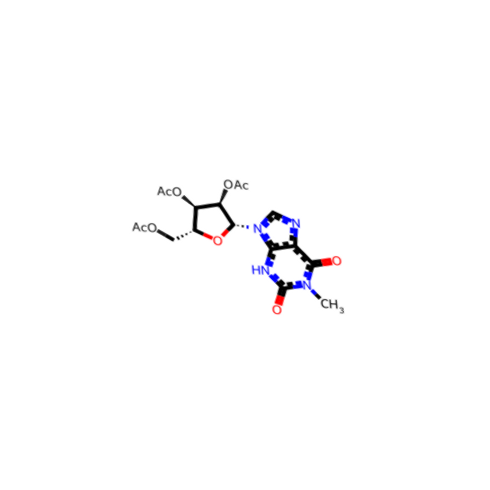 CC(=O)OC[C@H]1O[C@@H](n2cnc3c(=O)n(C)c(=O)[nH]c32)[C@H](OC(C)=O)[C@@H]1OC(C)=O